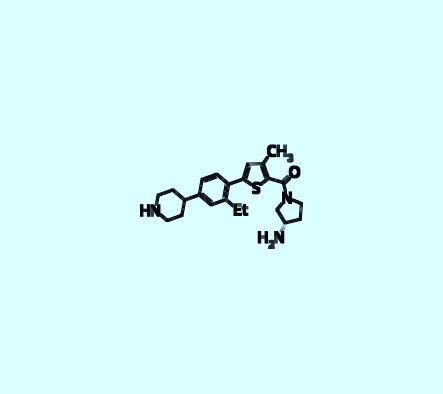 CCc1cc(C2CCNCC2)ccc1-c1cc(C)c(C(=O)N2CC[C@H](N)C2)s1